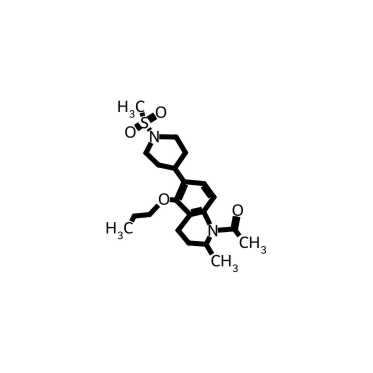 CCCOc1c(C2CCN(S(C)(=O)=O)CC2)ccc2c1CCC(C)N2C(C)=O